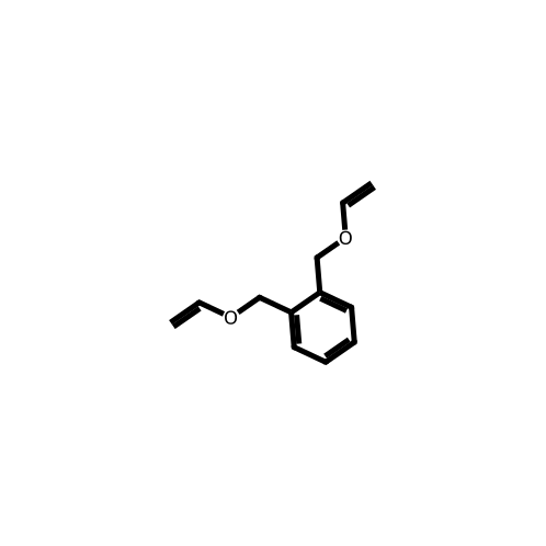 C=COCc1ccccc1COC=C